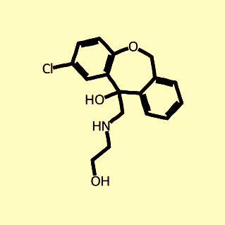 OCCNCC1(O)c2ccccc2COc2ccc(Cl)cc21